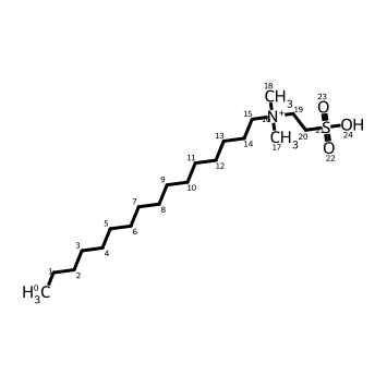 CCCCCCCCCCCCCCCC[N+](C)(C)CCS(=O)(=O)O